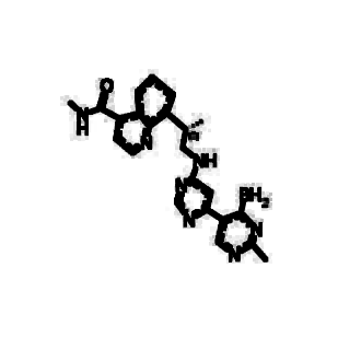 Bc1nc(C)ncc1-c1cc(NC[C@@H](C)c2cccc3c(C(=O)NC)ccnc23)ncn1